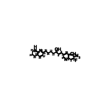 C/C(F)=C\c1ncc(/C=C/C(O)CCCCc2ccc3c(n2)NCCC3)cc1C